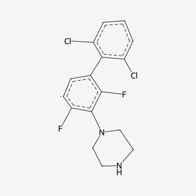 Fc1[c]cc(-c2c(Cl)cccc2Cl)c(F)c1N1CCNCC1